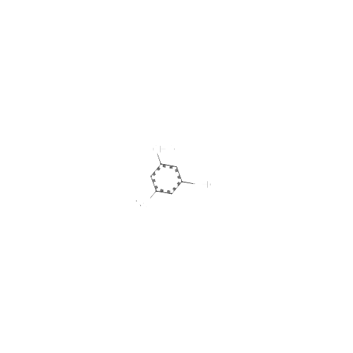 N#Cc1cc(C=O)cc(C=O)c1